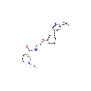 CN1CCC[C@H](C(=O)NCCOc2c[c]cc(-c3cnn(C)c3)c2)C1